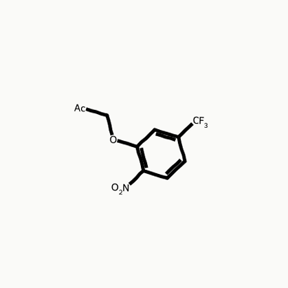 CC(=O)COc1cc(C(F)(F)F)ccc1[N+](=O)[O-]